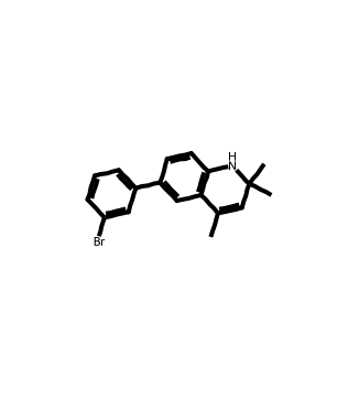 CC1=CC(C)(C)Nc2ccc(-c3cccc(Br)c3)cc21